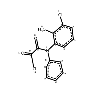 Cc1c(Cl)cccc1N(C(=O)C(=O)Cl)c1ccccc1